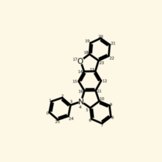 c1ccc(-n2c3ccccc3c3cc4c(cc32)oc2ccccc24)cc1